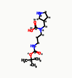 CC(C)(C)OC(=O)NCCCN(CC1CCNC1)C(=O)O